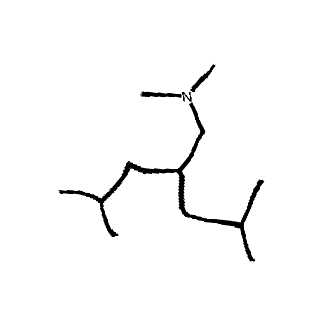 CC(C)CC(CC(C)C)CN(C)C